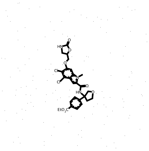 CCOC(=O)c1ccc(C2(NC(=O)c3cc4c(Cl)c(Cl)c(OCC5CNC(=O)O5)cc4n3C)CCOC2)cc1